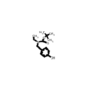 CCN(Cc1ccc(O)cc1)C(=O)OC(C)(C)C